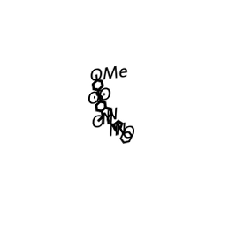 COc1ccc(S(=O)(=O)c2ccc3c(=O)n(Cc4ccn(C5CCCCO5)n4)ncc3c2)cc1